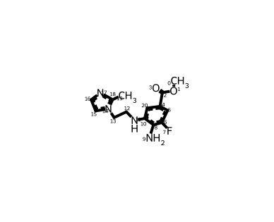 COC(=O)c1cc(F)c(N)c(NCCn2ccnc2C)c1